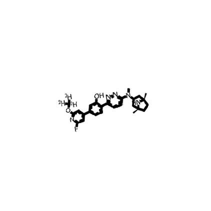 [2H]C([2H])([2H])Oc1cc(-c2ccc(-c3ccc(N(C)C4C[C@]5(C)CC[C@](C)(C4)N5)nn3)c(O)c2)cc(F)n1